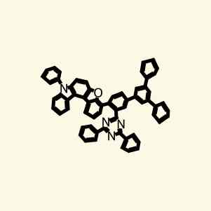 c1ccc(-c2cc(-c3ccccc3)cc(-c3ccc(-c4cccc5c4oc4ccc6c(c7ccccc7n6-c6ccccc6)c45)c(-c4nc(-c5ccccc5)nc(-c5ccccc5)n4)c3)c2)cc1